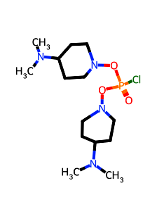 CN(C)C1CCN(OP(=O)(Cl)ON2CCC(N(C)C)CC2)CC1